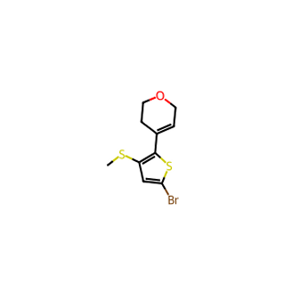 CSc1cc(Br)sc1C1=CCOCC1